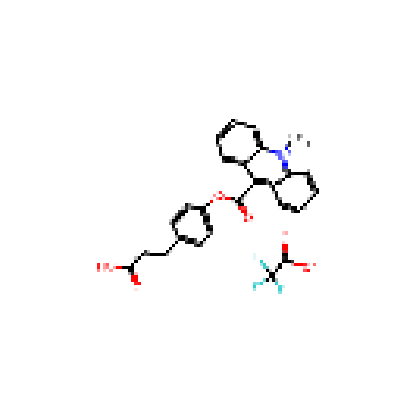 C[n+]1c2ccccc2c(C(=O)Oc2ccc(CCC(=O)O)cc2)c2ccccc21.O=C([O-])C(F)(F)F